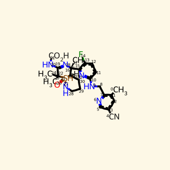 Cc1cc(C#N)cnc1CNc1ccc(F)c([C@@]2(C)N=C(NC(=O)O)C(C)(C)[SH]3(=O)NCCC[C@H]23)n1